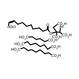 CCCCCCCC/C=C\CCCCCCCC(=O)OC(CC(=O)O)(C(=O)O)C(C(C)=O)C(=O)O.O=C(O)CCCCC(=O)O.O=C(O)CCCCCCC(=O)O.O=C(O)CCCCCCCC(=O)O